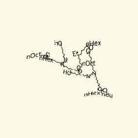 CCCCCCCCC(CCCCCC)COC(=O)CCCCCCCN(CCCCCCCC(=O)OCC(CCCCCCCC)CCCC(CC)CCCCC(CCCCCC)C(=O)OCCCCCCCCCN(CCCCCCCCCOC(=O)C(CCCC)CCCCCC)CCN(C)CCCCCCCCCO)CCN(C)CCCCCCO